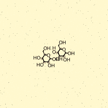 OC[C@H]1OC(O)[C@H](O)[C@@H](O)[C@@H]1O.OC[C@H]1OC(O)[C@H](O)[C@@H](O)[C@@H]1O